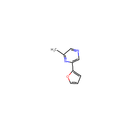 Cc1cncc(-c2ccco2)n1